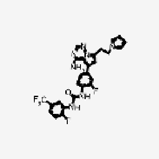 Nc1ncnn2c(CCn3cccc3)cc(-c3ccc(NC(=O)Nc4cc(C(F)(F)F)ccc4F)c(F)c3)c12